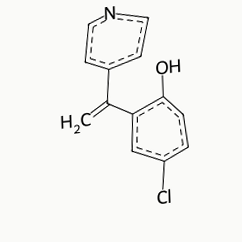 C=C(c1ccncc1)c1cc(Cl)ccc1O